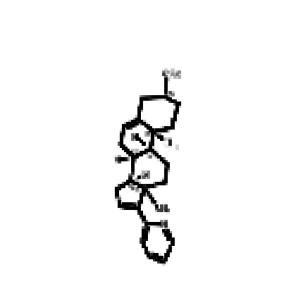 CC(=O)O[C@H]1CC[C@@]2(C)C(=CC[C@@H]3[C@@H]2CC[C@]2(C)C(c4ccccn4)=CC[C@@H]32)C1